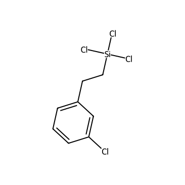 Clc1cccc(CC[Si](Cl)(Cl)Cl)c1